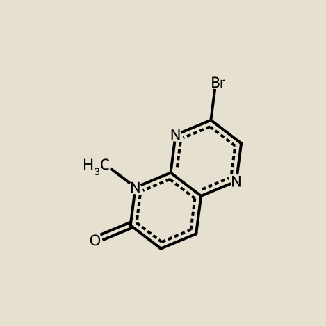 Cn1c(=O)ccc2ncc(Br)nc21